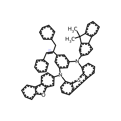 CC1(C)c2ccccc2-c2ccc(N3c4cc(/C(=C\c5ccccc5)Cc5ccccc5)cc(c4)N(c4ccc5c(c4)oc4ccccc45)c4cccc5c4sc4c3cccc45)cc21